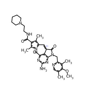 COc1c(C)cnc(CN2C(=O)/C(=C/c3[nH]c(C)c(C(=O)NCCN4CCCCC4)c3C)c3c(Cl)nc(N)nc32)c1C